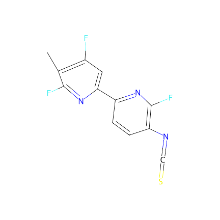 Cc1c(F)cc(-c2ccc(N=C=S)c(F)n2)nc1F